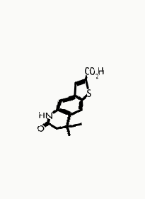 CC1(C)CC(=O)Nc2cc3cc(C(=O)O)sc3cc21